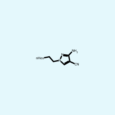 CCCCCCCCn1cc(C#N)c(N)n1